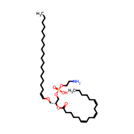 CCCCC/C=C\C/C=C\C/C=C\CCCCC(=O)O[C@H](CO/C=C\CCCCCCCCCCCCCCCCCC)COP(=O)(O)OCCN